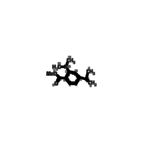 C=C(C)c1ccc(C(=O)OC)c(N(C)C)c1